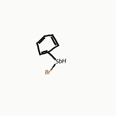 [Br][SbH][c]1ccccc1